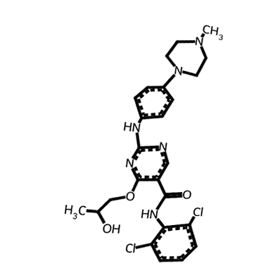 CC(O)COc1nc(Nc2ccc(N3CCN(C)CC3)cc2)ncc1C(=O)Nc1c(Cl)cccc1Cl